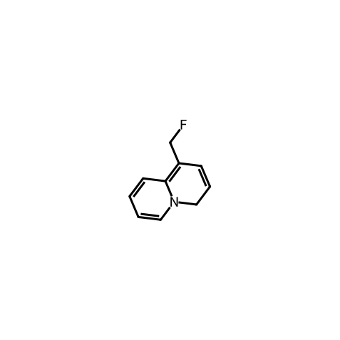 FCC1=C2C=CC=CN2CC=C1